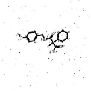 COc1ccc(CNC(=O)C(C)(C(=O)O)C2CCCCC2)cc1